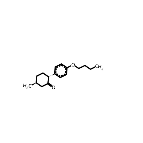 CCCCOc1ccc([C@H]2CC[C@H](C)CC2=O)cc1